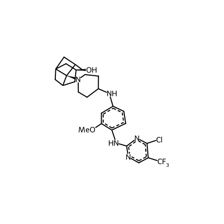 COc1cc(NC2CCN([C@]34C5CC36CC4C[C@@](O)(C5)C6)CC2)ccc1Nc1ncc(C(F)(F)F)c(Cl)n1